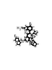 Nc1nc2c(C3=C(F)c4nc(OC[C@@]56CCCN5C[C@H](F)C6)nc(N5CC6CCC(C5)N6)c4S(=O)(=O)N3C3COC3)ccc(F)c2s1